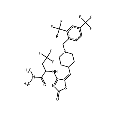 CN(C)C(=O)C(CC(F)(F)F)NC1=NC(=O)SC1=CC1CCN(Cc2ccc(C(F)(F)F)cc2C(F)(F)F)CC1